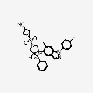 Cc1cc2c(cnn2-c2ccc(F)cc2)cc1[C@]12CN(S(=O)(=O)N3CC(C#N)C3)C[C@H]1[C@@H]2C1C=CC=CC1